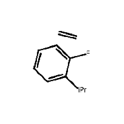 C=C.CC(C)c1ccccc1F